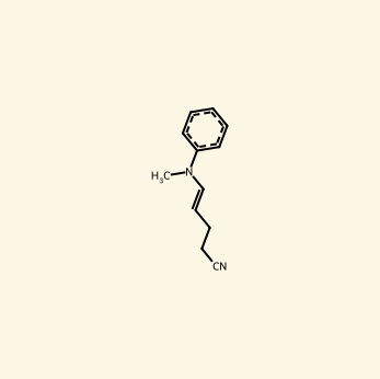 CN(C=CCCC#N)c1ccccc1